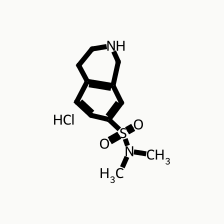 CN(C)S(=O)(=O)c1ccc2c(c1)CNCC2.Cl